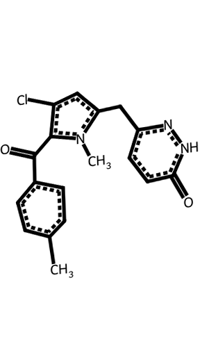 Cc1ccc(C(=O)c2c(Cl)cc(Cc3ccc(=O)[nH]n3)n2C)cc1